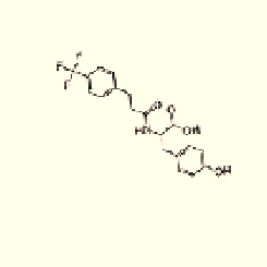 O=C(CCc1ccc(C(F)(F)F)cc1)N[C@@H](Cc1ccc(O)cc1)C(=O)O